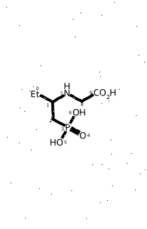 CCC(CP(=O)(O)O)NCC(=O)O